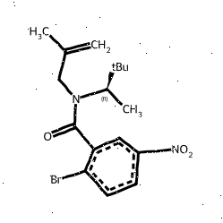 C=C(C)CN(C(=O)c1cc([N+](=O)[O-])ccc1Br)[C@H](C)C(C)(C)C